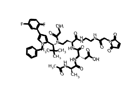 CC(=O)N[C@H](C)C(=O)N[C@@H](CC(=O)O)C(=O)N[C@@H](CCN(C(=O)CO)[C@@H](c1cc(-c2cc(F)ccc2F)cn1Cc1ccccc1)C(C)(C)C)C(=O)NCCNC(=O)CN1C(=O)C=CC1=O